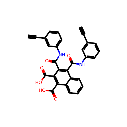 C#Cc1cccc(NC(=O)c2c(C(=O)O)c(C(=O)O)c3ccccc3c2C(=O)Nc2cccc(C#C)c2)c1